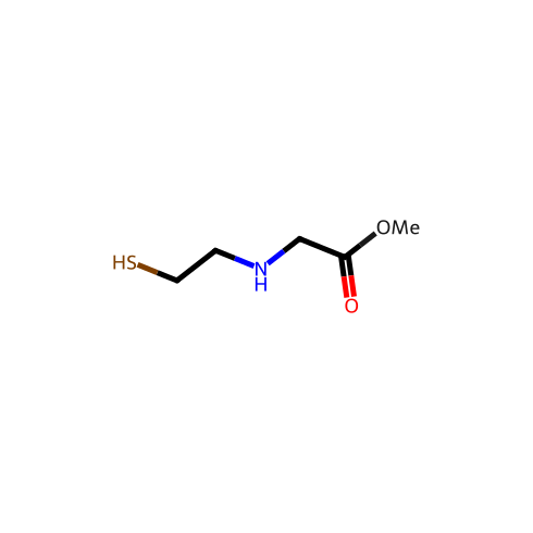 COC(=O)CNCCS